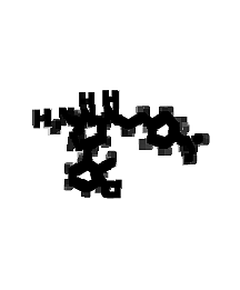 Cc1c(Cl)cccc1C1=CC(NCCc2ccc(N(C)C)cc2)NC(N)=N1